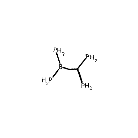 PB(P)C(P)P